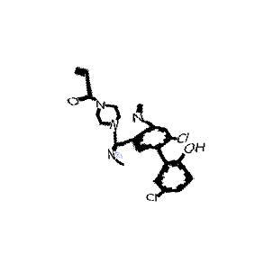 C=CC(=O)N1CCN(/C(=N/C)c2cc(-c3cc(Cl)ccc3O)c(Cl)cc2N=C)CC1